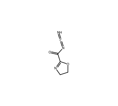 N=C=NC(=O)C1=NCCO1